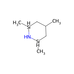 CC1C[SiH](C)N[SiH](C)C1